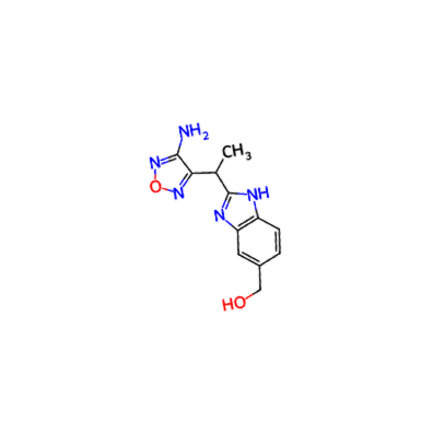 CC(c1nc2cc(CO)ccc2[nH]1)c1nonc1N